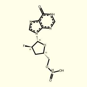 O=c1[nH]cnc2c1ncn2[C@@H]1O[C@H](CO[PH](=O)O)C[C@H]1F